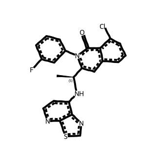 C[C@H](Nc1ccnc2scnc12)c1cc2cccc(Cl)c2c(=O)n1-c1cccc(F)c1